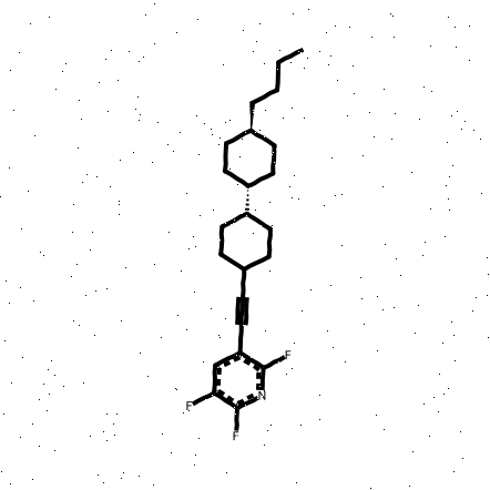 CCCC[C@H]1CC[C@H](C2CCC(C#Cc3cc(F)c(F)nc3F)CC2)CC1